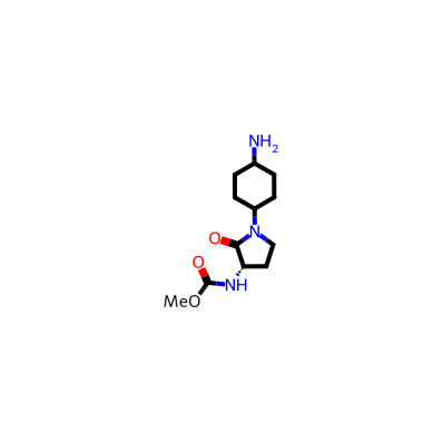 COC(=O)N[C@H]1CCN(C2CCC(N)CC2)C1=O